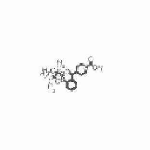 CC1(C)OB(c2ccccc2C(=O)C2CCN(C(=O)O)CC2)OC1(C)C